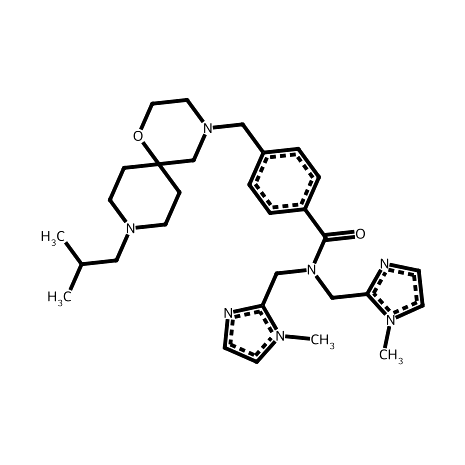 CC(C)CN1CCC2(CC1)CN(Cc1ccc(C(=O)N(Cc3nccn3C)Cc3nccn3C)cc1)CCO2